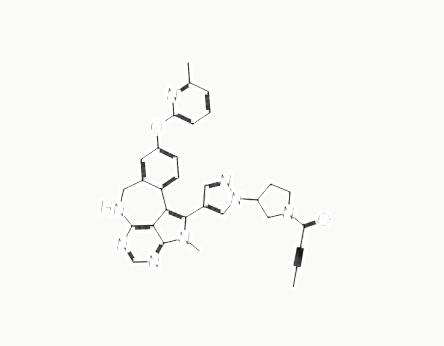 CC#CC(=O)N1CCC(n2cc(-c3c4c5c(ncnc5n3C)NCc3cc(Oc5cccc(C)n5)ccc3-4)cn2)C1